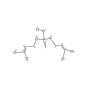 S=P(OCl)(OCC=C(Cl)Cl)OCC=C(Cl)Cl